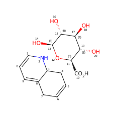 C1=CNC2CC=CCC2=C1.O=C(O)[C@H]1O[C@@H](O)[C@H](O)[C@@H](O)[C@@H]1O